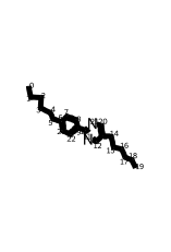 CCCCCCc1ccc(-c2ncc(CCCCCC)cn2)cc1